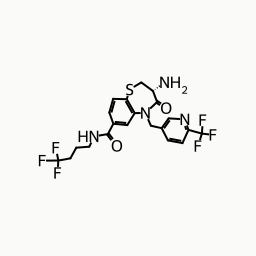 N[C@H]1CSc2ccc(C(=O)NCCCC(F)(F)F)cc2N(Cc2ccc(C(F)(F)F)nc2)C1=O